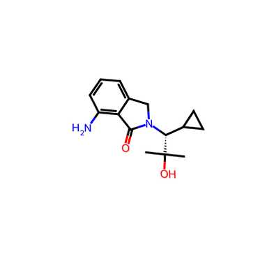 CC(C)(O)[C@@H](C1CC1)N1Cc2cccc(N)c2C1=O